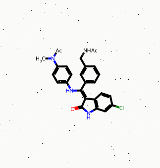 CC(=O)NCc1cccc(/C(Nc2ccc(N(C)C(C)=O)cc2)=C2/C(=O)Nc3cc(Cl)ccc32)c1